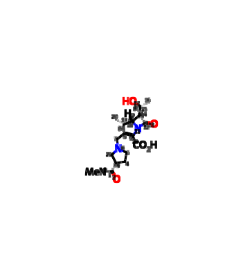 CNC(=O)[C@H]1CCN(CC2=C(C(=O)O)N3C(=O)[C@@H]([C@@H](C)O)[C@H]3[C@H]2C)C1